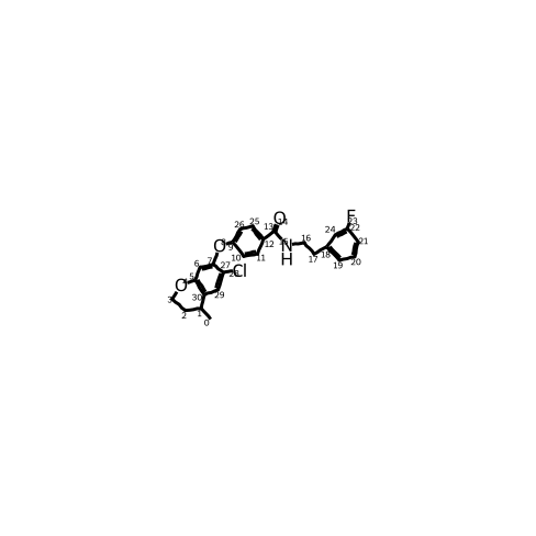 CC1CCOc2cc(Oc3ccc(C(=O)NCCc4cccc(F)c4)cc3)c(Cl)cc21